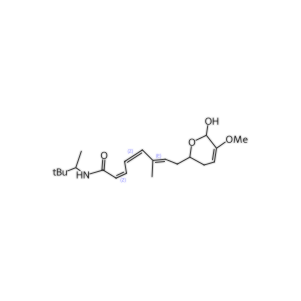 COC1=CCC(C/C=C(C)/C=C\C=C/C(=O)NC(C)C(C)(C)C)OC1O